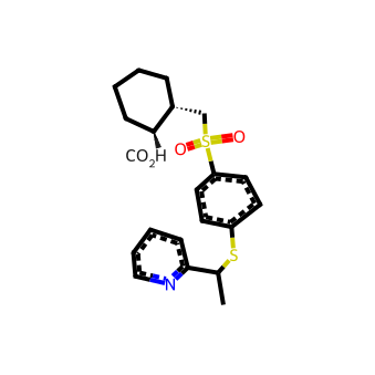 CC(Sc1ccc(S(=O)(=O)C[C@H]2CCCC[C@@H]2C(=O)O)cc1)c1ccccn1